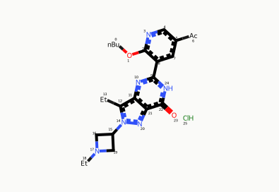 CCCCOc1ncc(C(C)=O)cc1-c1nc2c(CC)n(C3CN(CC)C3)nc2c(=O)[nH]1.Cl